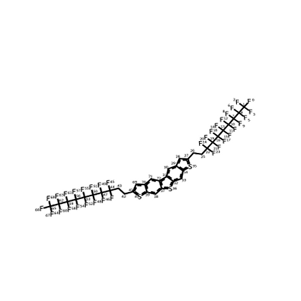 FC(F)(F)C(F)(F)C(F)(F)C(F)(F)C(F)(F)C(F)(F)C(F)(F)C(F)(F)CCc1cc2cc3c(cc2s1)sc1cc2sc(CCC(F)(F)C(F)(F)C(F)(F)C(F)(F)C(F)(F)C(F)(F)C(F)(F)C(F)(F)F)cc2cc13